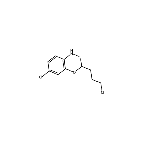 ClCCCC1Oc2cc(Cl)ccc2NS1